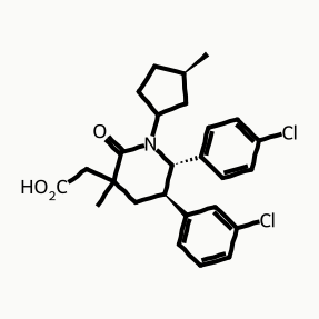 C[C@@H]1CCC(N2C(=O)C(C)(CC(=O)O)C[C@H](c3cccc(Cl)c3)[C@H]2c2ccc(Cl)cc2)C1